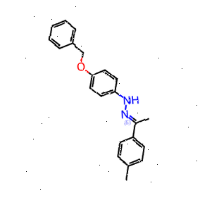 C/C(=N\Nc1ccc(OCc2ccccc2)cc1)c1ccc(C)cc1